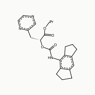 CC(C)OC(=O)[C@@H](Cc1cnccn1)OC(=O)Nc1c2c(cc3c1CCC3)CCC2